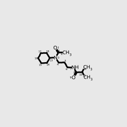 CC(=O)N(CCCNC(=O)C(C)C)C1CCCCC1